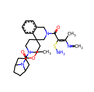 C=N/C(C)=C(\SN)C(=O)N1Cc2ccccc2C2(CCN(C3CC4CCC(C3)N4C(=O)OCC)CC2)C1